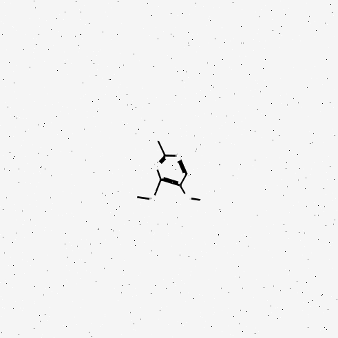 CNc1nc(Cl)ncc1OC